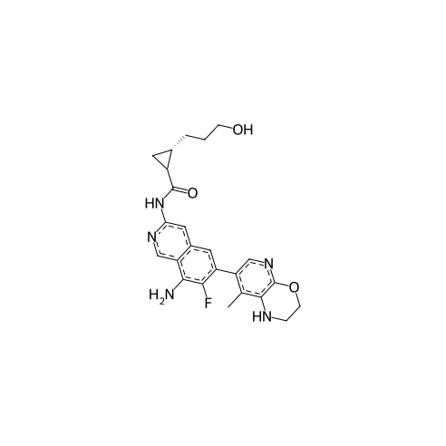 Cc1c(-c2cc3cc(NC(=O)C4C[C@@H]4CCCO)ncc3c(N)c2F)cnc2c1NCCO2